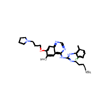 CNCCC/N=C(\Nc1c(C)cccc1Cl)Nc1ncnc2cc(OCCCN3CCCC3)c(OC)cc12